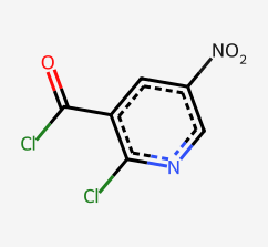 O=C(Cl)c1cc([N+](=O)[O-])cnc1Cl